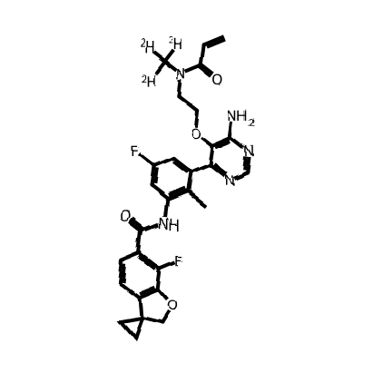 [2H]C([2H])([2H])N(CCOc1c(N)ncnc1-c1cc(F)cc(NC(=O)c2ccc3c(c2F)OCC32CC2)c1C)C(=O)C=C